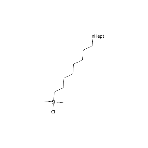 CCCCCCCCCCCCCCC[Si](C)(C)Cl